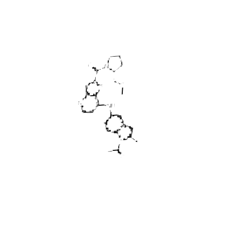 COC[C@H]1CCCN1C(=O)c1cc2nccc(Nc3ccc4c(c3)cc(C)n4C(C)=O)c2s1